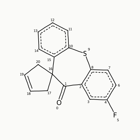 O=C1c2cc(F)ccc2Sc2ccccc2C12CC=CC2